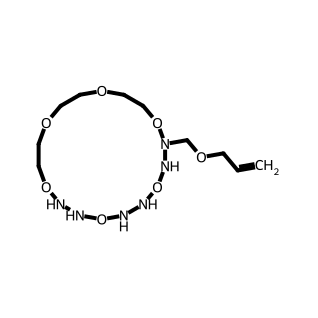 C=CCOCN1NONNONNOCCOCCOCCO1